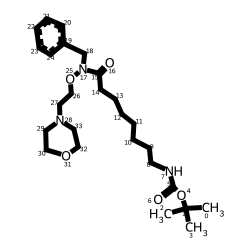 CC(C)(C)OC(=O)NCCCCCCCC(=O)N(Cc1ccccc1)OCCN1CCOCC1